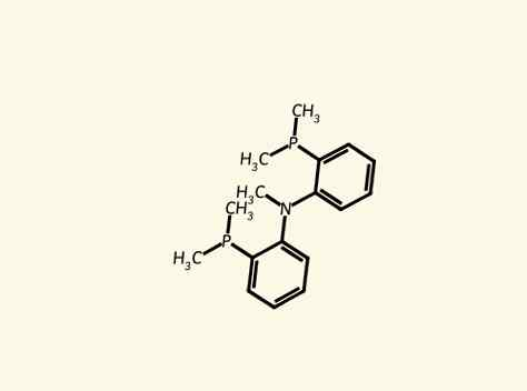 CN(c1ccccc1P(C)C)c1ccccc1P(C)C